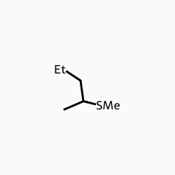 CCC[C](C)SC